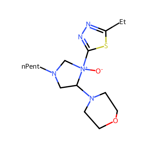 CCCCCN1CC(N2CCOCC2)[N+]([O-])(c2nnc(CC)s2)C1